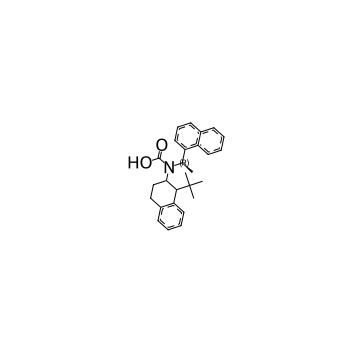 C[C@H](c1cccc2ccccc12)N(C(=O)O)C1CCc2ccccc2C1C(C)(C)C